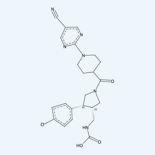 N#Cc1cnc(N2CCC(C(=O)N3C[C@H](CNC(=O)O)[C@H](c4ccc(Cl)cc4)C3)CC2)nc1